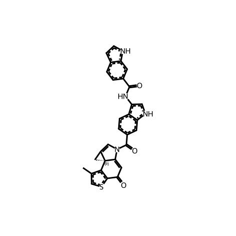 Cc1csc2c1[C@@]13CC1=CN(C(=O)c1ccc4c(NC(=O)c5ccc6cc[nH]c6c5)c[nH]c4c1)C3=CC2=O